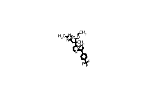 CCOC(=O)C(C)(Cc1nc(C)no1)c1ccnc2c(-c3ccc(C(F)(F)F)cc3)cnn12